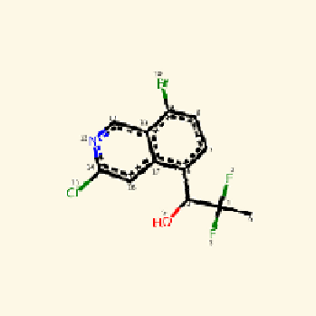 CC(F)(F)C(O)c1ccc(Br)c2cnc(Cl)cc12